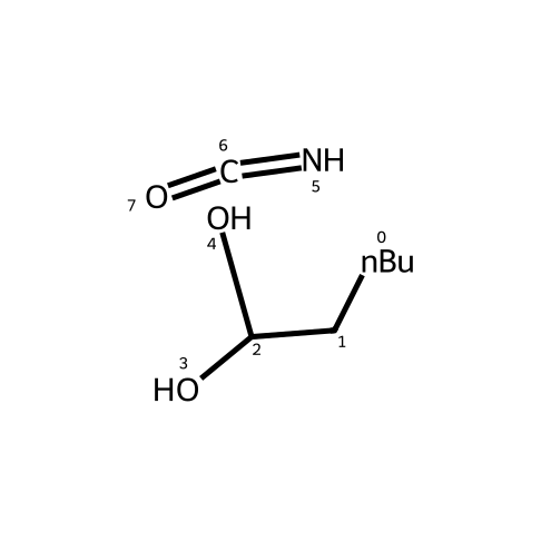 CCCCCC(O)O.N=C=O